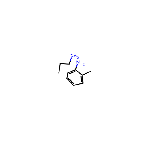 CCCN.Cc1ccccc1N